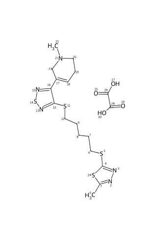 Cc1nnc(SCCCCCSc2nsnc2C2=CCCN(C)C2)s1.O=C(O)C(=O)O